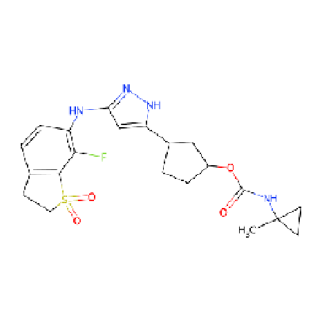 CC1(NC(=O)OC2CCC(c3cc(Nc4ccc5c(c4F)S(=O)(=O)CC5)n[nH]3)C2)CC1